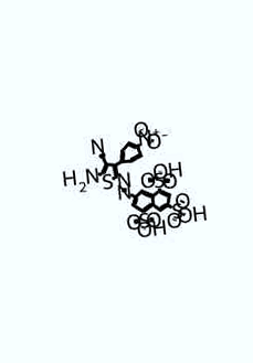 N#Cc1c(N)sc(N=Nc2cc(S(=O)(=O)O)c3cc(S(=O)(=O)O)cc(S(=O)(=O)O)c3c2)c1-c1ccc([N+](=O)[O-])cc1